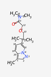 Cc1cnn2cc(C(C)(C)COCC(=O)N(C)C)ccc12